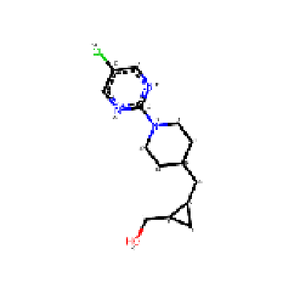 OCC1CC1CC1CCN(c2ncc(Cl)cn2)CC1